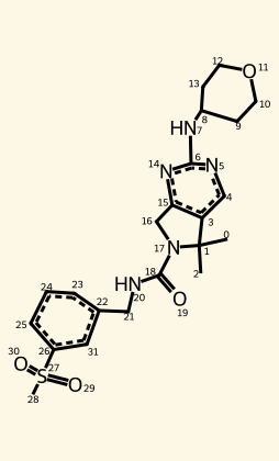 CC1(C)c2cnc(NC3CCOCC3)nc2CN1C(=O)NCc1cccc(S(C)(=O)=O)c1